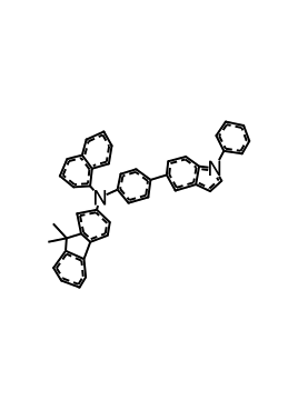 CC1(C)c2ccccc2-c2ccc(N(c3ccc(-c4ccc5c(ccn5-c5ccccc5)c4)cc3)c3cccc4ccccc34)cc21